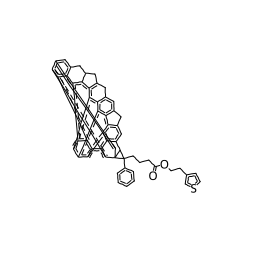 O=C(CCCC1(c2ccccc2)C2c3cc4c5c6c(cc7c8c9c%10c%11c%12c%13c(cc%14c%15c(c%16c3c5c3c%16c(c%15%13)c%12c9c3c68)C21C=%14)CC%11CC=%10C7)C4)OCCc1ccsc1